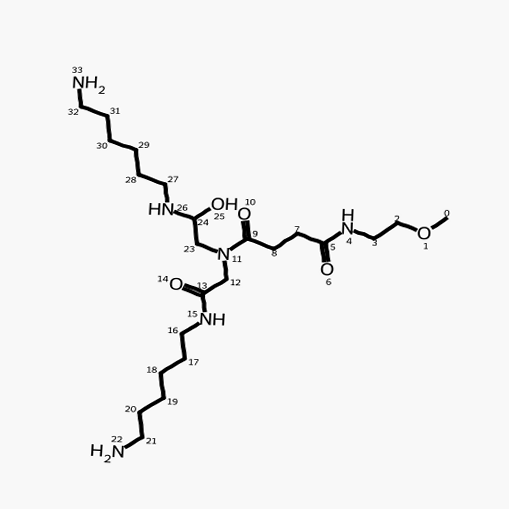 COCCNC(=O)CCC(=O)N(CC(=O)NCCCCCCN)CC(O)NCCCCCCN